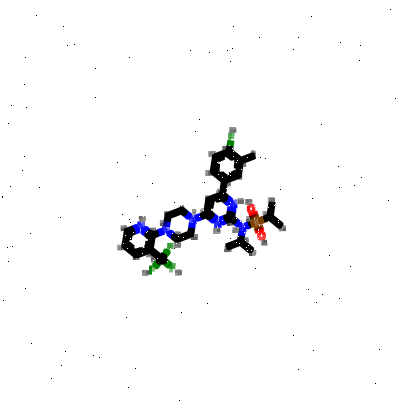 Cc1cc(-c2cc(N3CCN(c4ncccc4C(F)(F)F)CC3)nc(N(C(C)C)S(=O)(=O)C(C)C)n2)ccc1F